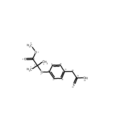 COC(=O)C(C)(C)Oc1ccc(CC(O)=S)cc1